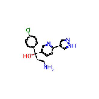 NCCC(O)(c1ccc(Cl)cc1)c1ccc(-c2cn[nH]c2)nc1